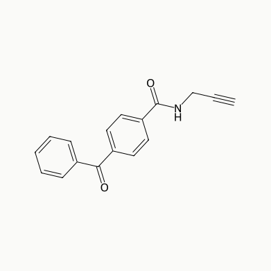 C#CCNC(=O)c1ccc(C(=O)c2ccccc2)cc1